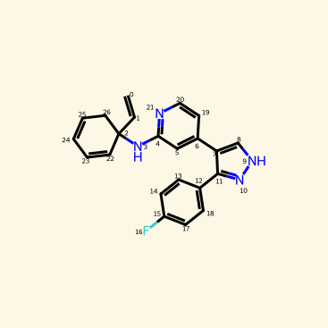 C=CC1(Nc2cc(-c3c[nH]nc3-c3ccc(F)cc3)ccn2)C=CC=CC1